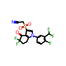 N#CCS(=O)(=O)c1cn(-c2ccc(F)c(C(F)F)c2)c2c1C(=O)C(F)(F)CC2